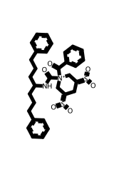 O=C(NC(CCCc1ccccc1)CCCc1ccccc1)[N+]1(C(=O)c2ccccc2)CC(=S(=O)=O)CC(=S(=O)=O)C1